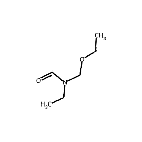 CCOCN([C]=O)CC